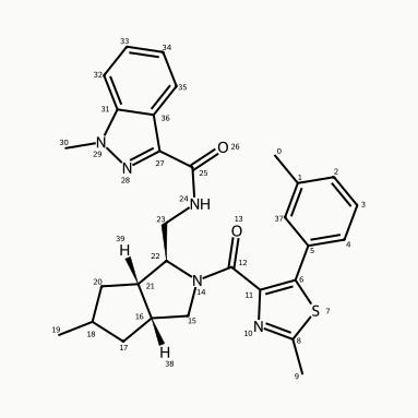 Cc1cccc(-c2sc(C)nc2C(=O)N2C[C@@H]3CC(C)C[C@@H]3[C@H]2CNC(=O)c2nn(C)c3ccccc23)c1